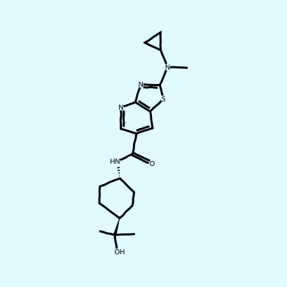 CN(c1nc2ncc(C(=O)N[C@H]3CC[C@H](C(C)(C)O)CC3)cc2s1)C1CC1